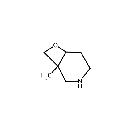 CC12CNCCC1OC2